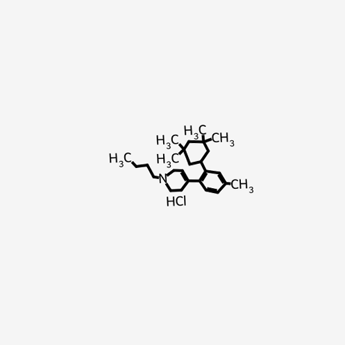 CCCCN1CC=C(c2ccc(C)cc2C2CC(C)(C)CC(C)(C)C2)CC1.Cl